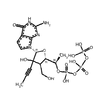 CC#CC1(O)C(CO)[C@@H]([C@@H](C)OP(=O)(O)OP(=O)(O)OP(=O)(O)O)O[C@H]1n1ccc2c(=O)[nH]c(N)nc21